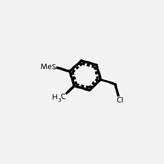 CSc1ccc(CCl)cc1C